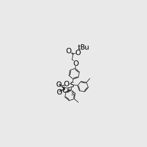 Cc1cccc(S(OS(=O)(=O)C(F)(F)F)(c2ccc(OCC(=O)OC(C)(C)C)cc2)c2cccc(C)c2)c1